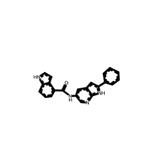 O=C(Nc1cnc2[nH]c(-c3ccccc3)cc2c1)c1cccc2[nH]ccc12